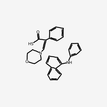 O=C(S)/C(=C\N1CCOCC1)c1ccccc1.c1ccc(Nc2cccc3ccccc23)cc1